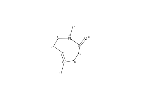 C/C1=C\CCN(C)C(=O)CC1